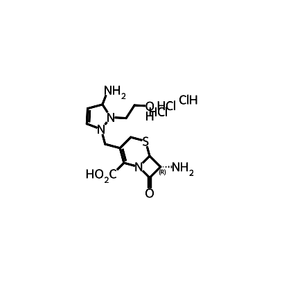 Cl.Cl.Cl.NC1C=CN(CC2=C(C(=O)O)N3C(=O)[C@@H](N)C3SC2)N1CCO